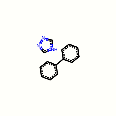 c1ccc(-c2ccccc2)cc1.c1nnc[nH]1